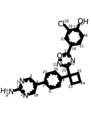 Nc1ncc(-c2ccc(C3(c4noc(-c5ccc(O)c(Cl)c5)n4)CCC3)cc2)cn1